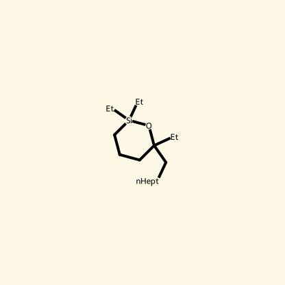 CCCCCCCCC1(CC)CCC[Si](CC)(CC)O1